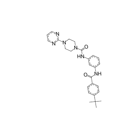 CC(C)(C)c1ccc(C(=O)Nc2cccc(NC(=O)N3CCN(c4ncccn4)CC3)c2)cc1